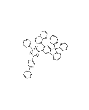 C1=CCC2C=CC=C(c3cc4c(cc3-c3nc(-c5ccccc5)nc(-c5ccc(-c6ccccc6)cc5)n3)-c3ccccc3C4(c3ccccc3)c3ccccc3)C2=C1